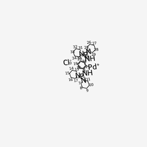 [Cl-].[Pd+][c]1c(NP(N2CCCCC2)N2CCCCC2)cccc1NP(N1CCCCC1)N1CCCCC1